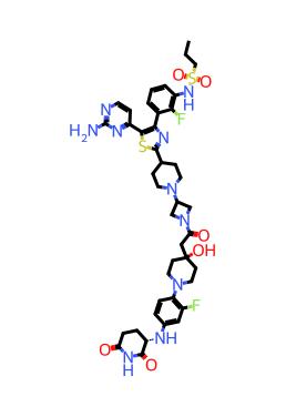 CCCS(=O)(=O)Nc1cccc(-c2nc(C3CCN(C4CN(C(=O)CC5(O)CCN(c6ccc(N[C@H]7CCC(=O)NC7=O)cc6F)CC5)C4)CC3)sc2-c2ccnc(N)n2)c1F